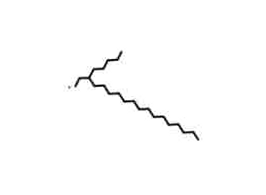 [CH2]CC(CCCCC)CCCCCCCCCCCCCCC